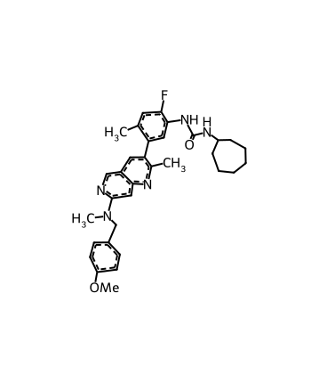 COc1ccc(CN(C)c2cc3nc(C)c(-c4cc(NC(=O)NC5CCCCCC5)c(F)cc4C)cc3cn2)cc1